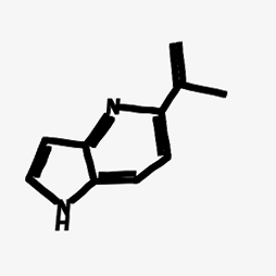 C=C(C)c1ccc2[nH]ccc2n1